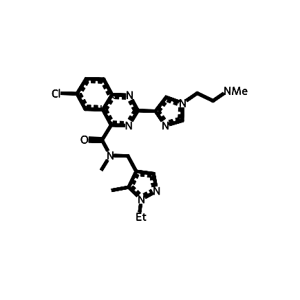 CCn1ncc(CN(C)C(=O)c2nc(-c3cn(CCNC)cn3)nc3ccc(Cl)cc23)c1C